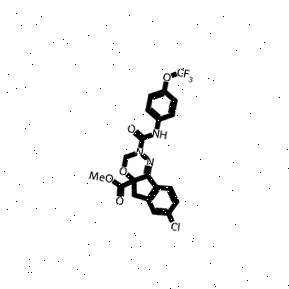 COC(=O)C12Cc3cc(Cl)ccc3C1=NN(C(=O)Nc1ccc(OC(F)(F)F)cc1)CO2